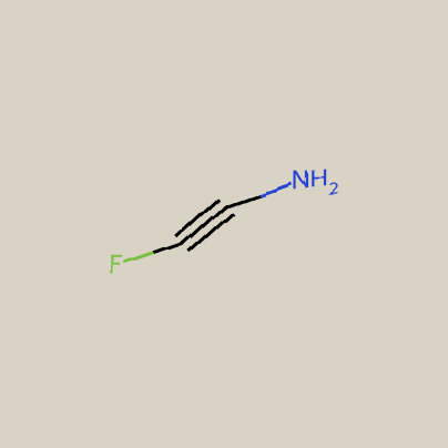 NC#CF